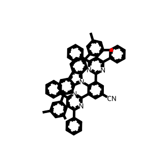 Cc1cc(C)cc(-c2ccc3c4ccc(-c5cc(C)cc(C)c5)cc4n(-c4c(-c5nc(-c6ccccc6)cc(-c6ccccc6)n5)cc(C#N)cc4-c4nc(-c5ccccc5)cc(-c5ccccc5)n4)c3c2)c1